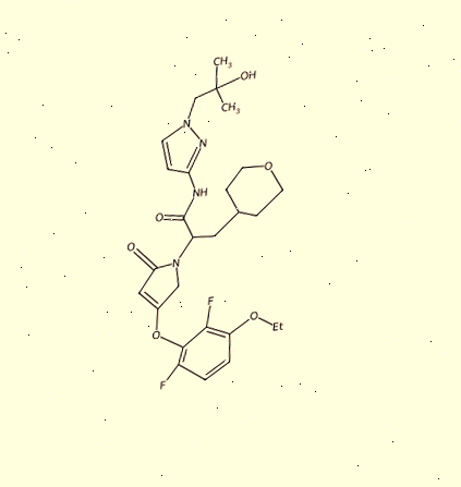 CCOc1ccc(F)c(OC2=CC(=O)N(C(CC3CCOCC3)C(=O)Nc3ccn(CC(C)(C)O)n3)C2)c1F